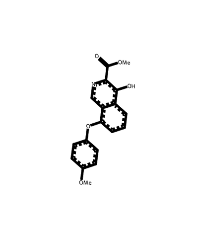 COC(=O)c1ncc2c(Oc3ccc(OC)cc3)cccc2c1O